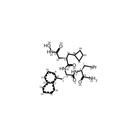 CC(C)C[C@H](NC(=O)[C@H](Cc1cccc2ccccc12)NC(=O)[C@@H](CC(=O)NO)CC1CCC1)C(N)=O